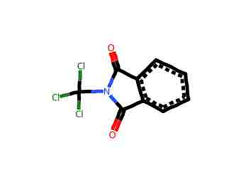 O=C1c2ccccc2C(=O)N1C(Cl)(Cl)Cl